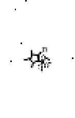 COC(OC)(OC)C1=C(C)C(C)=C(C)C1C.[Ti]